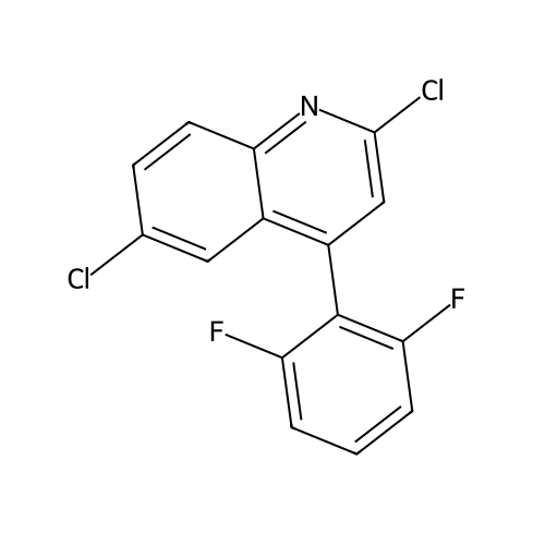 Fc1cccc(F)c1-c1cc(Cl)nc2ccc(Cl)cc12